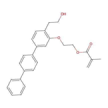 C=C(C)C(=O)OCCOc1cc(-c2ccc(-c3ccccc3)cc2)ccc1CCO